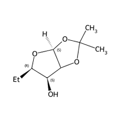 CC[C@H]1O[C@H]2OC(C)(C)OC2[C@H]1O